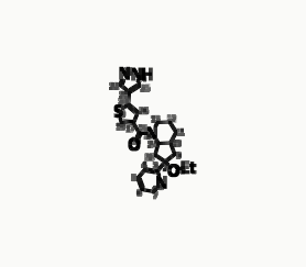 CCOC1(c2ccccn2)CC2CCCN(C(=O)c3csc(-c4cn[nH]c4)c3)C2C1